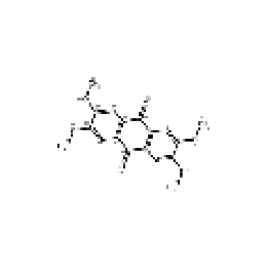 COc1cc2c(cc1OC)C(=O)c1cc(OC)c(OC)cc1C2=O